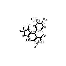 Cn1[nH]c(=O)c2c1NC1=C(C(=O)C(C)(C)C1)C2c1ccc(F)c(C(F)(F)F)c1